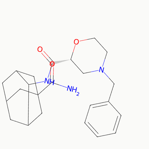 NC(=O)C12CC3CC(C1)C(NC(=O)[C@H]1CN(Cc4ccccc4)CCO1)C(C3)C2